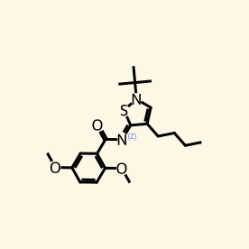 CCCCc1cn(C(C)(C)C)s/c1=N\C(=O)c1cc(OC)ccc1OC